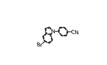 N#Cc1ccc(-n2ccc3cc(Br)ccc32)cc1